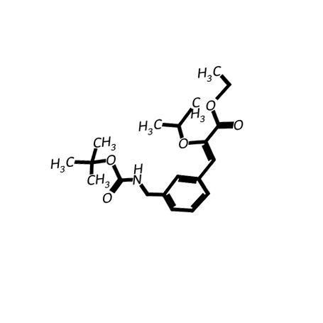 CCOC(=O)/C(=C/c1cccc(CNC(=O)OC(C)(C)C)c1)OC(C)C